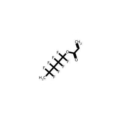 C=CC(=O)OC(F)(F)C(F)(F)C(F)(F)C(C)(F)F